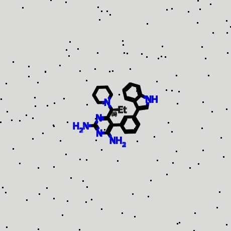 CC[C@@H](c1nc(N)nc(N)c1-c1cccc(-c2c[nH]c3ccccc23)c1)N1CCCCC1